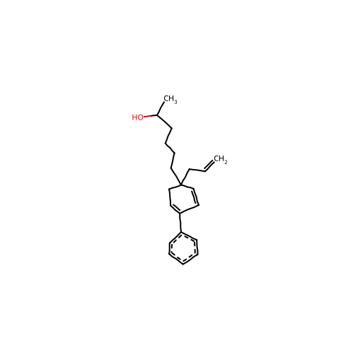 C=CCC1(CCCCC(C)O)C=CC(c2ccccc2)=CC1